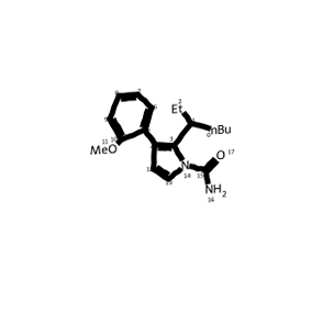 CCCCC(CC)c1c(-c2ccccc2OC)ccn1C(N)=O